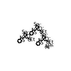 CCOCCC(CC([O-])=S)(C([O-])=S)c1nc2ccccc2s1.CCOCCC(CC([O-])=S)(C([O-])=S)c1nc2ccccc2s1.CCOCCC(CC([O-])=S)(C([O-])=S)c1nc2ccccc2s1.[Al+3].[Al+3]